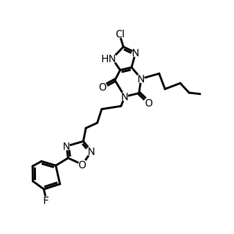 CCCCCn1c(=O)n(CCCCc2noc(-c3cccc(F)c3)n2)c(=O)c2[nH]c(Cl)nc21